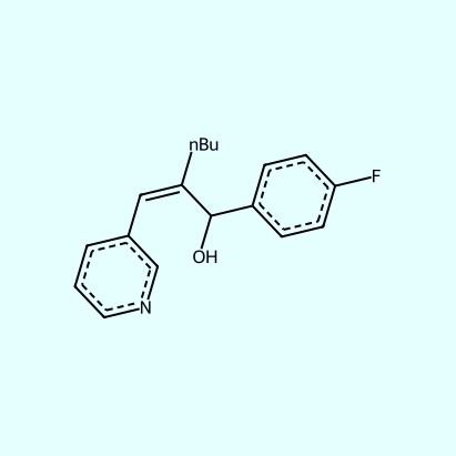 CCCCC(=Cc1cccnc1)C(O)c1ccc(F)cc1